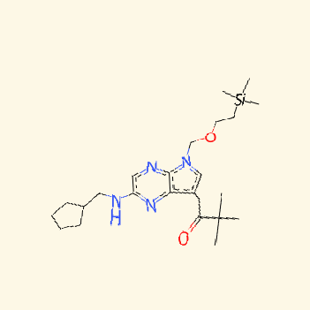 CC(C)(C)C(=O)c1cn(COCC[Si](C)(C)C)c2ncc(NCC3CCCC3)nc12